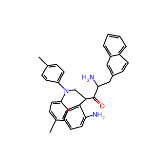 Cc1ccc(N([CH][C](C(=O)C(N)Cc2ccc3ccccc3c2)c2ccccc2N)c2ccc(C)cc2)cc1